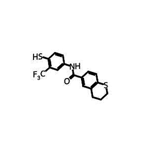 O=C(Nc1ccc(S)c(C(F)(F)F)c1)c1ccc2c(c1)CCCS2